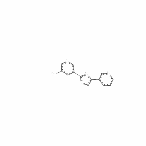 Brc1cncc(-c2nc(-c3cccnc3)cs2)c1